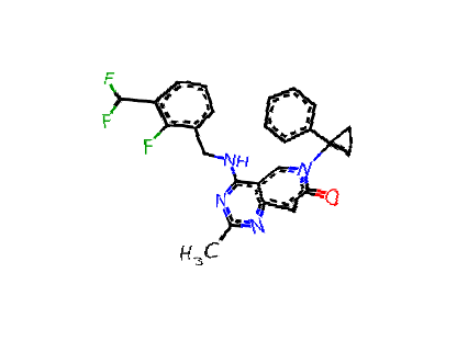 Cc1nc(NCc2cccc(C(F)F)c2F)c2cn(C3(c4ccccc4)CC3)c(=O)cc2n1